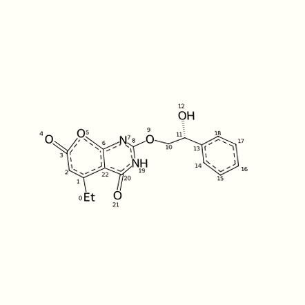 CCc1cc(=O)oc2nc(OC[C@H](O)c3ccccc3)[nH]c(=O)c12